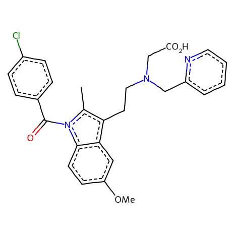 COc1ccc2c(c1)c(CCN(CC(=O)O)Cc1ccccn1)c(C)n2C(=O)c1ccc(Cl)cc1